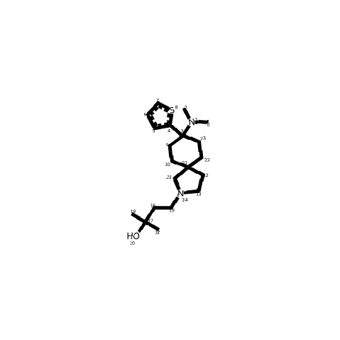 CN(C)C1(c2cccs2)CCC2(CCN(CCC(C)(C)O)C2)CC1